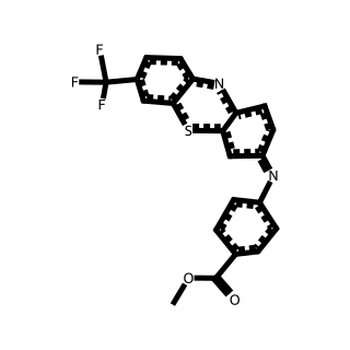 COC(=O)c1ccc(N=c2ccc3nc4ccc(C(F)(F)F)cc4sc-3c2)cc1